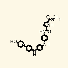 COC(=O)c1ccc(C(=O)Nc2ccc(Nc3ccc(Nc4ccc(N5CCC(O)CC5)cc4)cc3)cc2)[nH]1